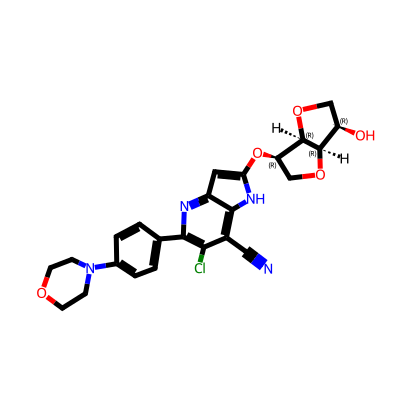 N#Cc1c(Cl)c(-c2ccc(N3CCOCC3)cc2)nc2cc(O[C@@H]3CO[C@H]4[C@@H]3OC[C@H]4O)[nH]c12